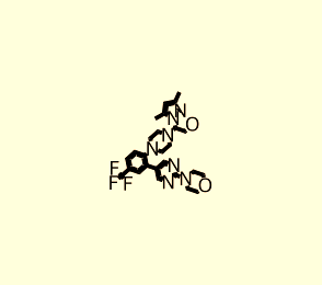 Cc1cc(C)n(C(C=O)N2CCN(c3ccc(C(F)(F)F)cc3-c3cnc(N4CCOCC4)nc3)CC2)n1